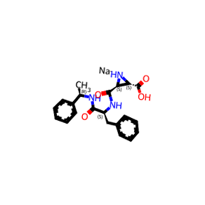 C[C@@H](NC(=O)[C@H](Cc1ccccc1)NC(=O)[C@H]1N[C@@H]1C(=O)O)c1ccccc1.[Na]